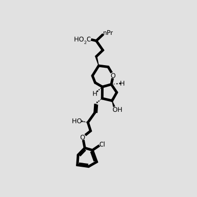 CCCC(CC[C@@H]1CC[C@@H]2[C@@H](C=C[C@@H](O)COc3ccccc3Cl)[C@H](O)C[C@@H]2OC1)C(=O)O